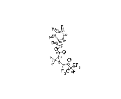 CC1(C)C(C=C(Cl)C(F)(C(F)(F)F)C(F)(F)F)C1C(=O)OC(F)(F)c1ccc(F)c(F)c1F